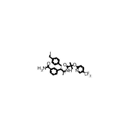 C[C@H](NC(=O)C(C)(C)Oc1ccc(C(F)(F)F)cn1)[C@@H](Cc1ccc(CI)cc1)c1cccc(C(N)=O)c1